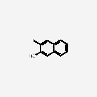 Oc1cc2ccccc2[c]c1I